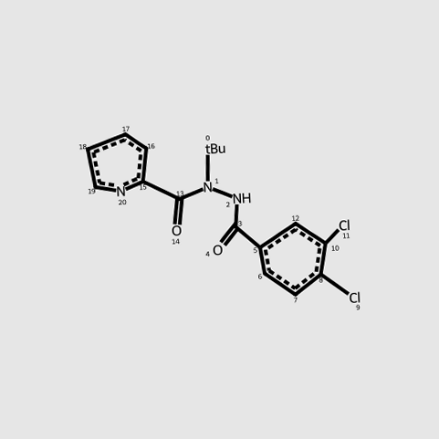 CC(C)(C)N(NC(=O)c1ccc(Cl)c(Cl)c1)C(=O)c1ccccn1